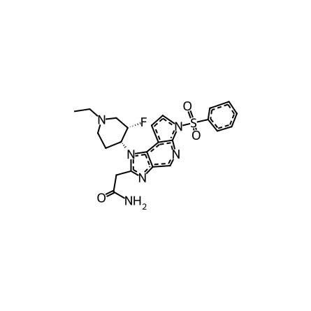 CCN1CC[C@@H](n2c(CC(N)=O)nc3cnc4c(ccn4S(=O)(=O)c4ccccc4)c32)[C@@H](F)C1